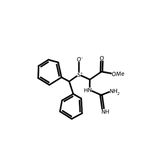 COC(=O)C(NC(=N)N)[S+]([O-])C(c1ccccc1)c1ccccc1